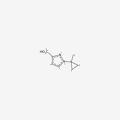 CC1(n2ccc(C(=O)O)n2)CC1